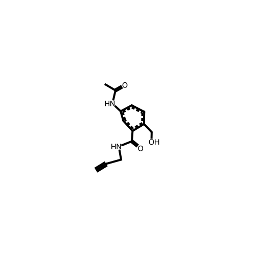 C#CCNC(=O)c1cc(NC(C)=O)ccc1CO